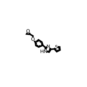 c1csc(-c2c[nH]c(-c3ccc(OCC4CO4)cc3)n2)c1